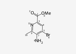 COC(=O)c1cc(Br)c(N)c(C)n1